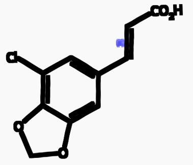 O=C(O)/C=C/c1cc(Cl)c2c(c1)OCO2